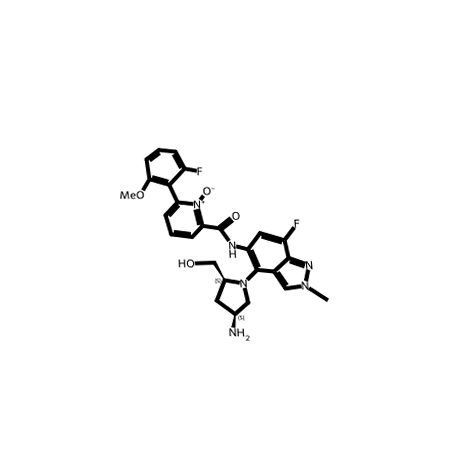 COc1cccc(F)c1-c1cccc(C(=O)Nc2cc(F)c3nn(C)cc3c2N2C[C@@H](N)C[C@H]2CO)[n+]1[O-]